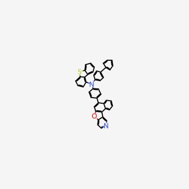 c1ccc(-c2ccc(N(c3ccc(-c4cc5oc6ccncc6c5c5ccccc45)cc3)c3cccc4sc5ccccc5c34)cc2)cc1